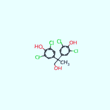 CC(CO)(c1cc(Cl)c(O)c(Cl)c1)c1cc(Cl)c(O)c(Cl)c1